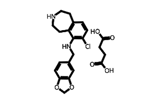 Clc1ccc2c(c1NCc1ccc3c(c1)OCO3)CCNCC2.O=C(O)CCC(=O)O